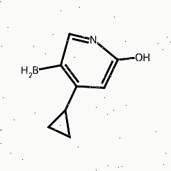 Bc1cnc(O)cc1C1CC1